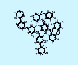 c1cncc(-c2cncc(-c3ccc(N(c4ccc(-c5ccncc5)cc4)c4cc(N5c6ccccc6Oc6ccccc65)nc(N5c6ccccc6Sc6ccccc65)c4)cc3)c2)c1